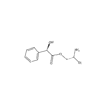 CCC(N)COC(=O)[C@H](O)c1ccccc1